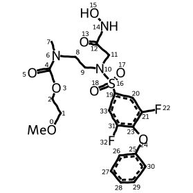 COCCOC(=O)N(C)CCN(CC(=O)NO)S(=O)(=O)c1cc(F)c(Oc2ccccc2)c(F)c1